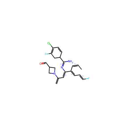 C=C(/C=C(\N=C(/N)C1C=CC(Cl)=C(F)C1)C(/C=C\C)=C/C=C/F)N1CC(C=O)C1